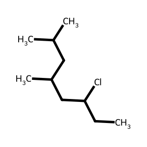 CCC(Cl)CC(C)CC(C)C